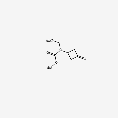 COCN(C(=O)OC(C)(C)C)C1CC(=O)C1